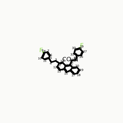 O=C(O)c1c(CCc2ccc(F)cc2)ccc2cc3ccccc3c(CCc3ccc(F)cc3)c12